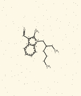 CCCCC(CC)Cn1c(C)c(C=O)c2ccccc21